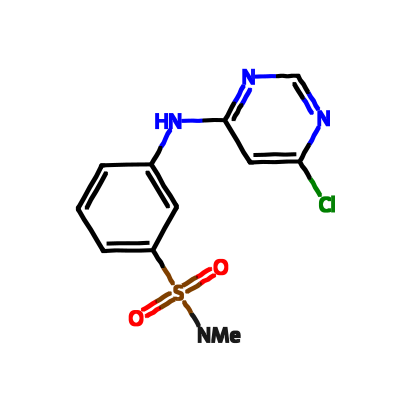 CNS(=O)(=O)c1cccc(Nc2cc(Cl)ncn2)c1